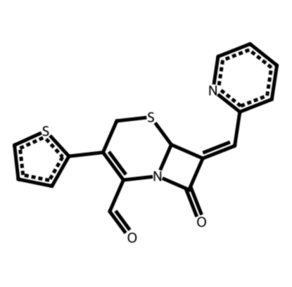 O=CC1=C(c2cccs2)CSC2/C(=C\c3ccccn3)C(=O)N12